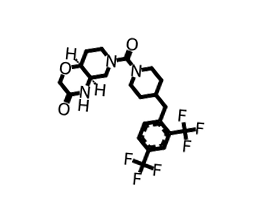 O=C1CO[C@H]2CCN(C(=O)N3CCC(Cc4ccc(C(F)(F)F)cc4C(F)(F)F)CC3)C[C@H]2N1